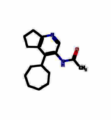 CC(=O)Nc1cnc2c(c1C1CCCCCC1)CCC2